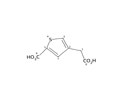 O=C(O)Cc1csc(C(=O)O)c1